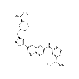 CC(=O)N1CCCC(Cn2cc(-c3cnc4ccc(Nc5cc(C(C)C)cnn5)nc4c3)cn2)C1